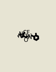 Cc1ccccc1/C=N/OC(=O)c1cn(C)nc1C(F)(F)F